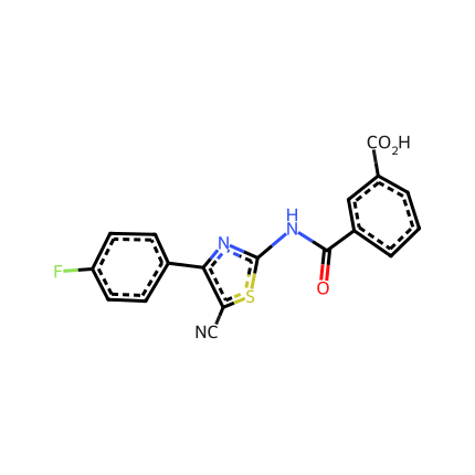 N#Cc1sc(NC(=O)c2cccc(C(=O)O)c2)nc1-c1ccc(F)cc1